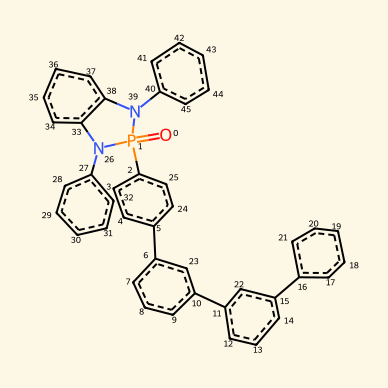 O=P1(c2ccc(-c3cccc(-c4cccc(-c5ccccc5)c4)c3)cc2)N(c2ccccc2)c2ccccc2N1c1ccccc1